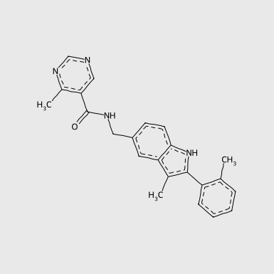 Cc1ccccc1-c1[nH]c2ccc(CNC(=O)c3cncnc3C)cc2c1C